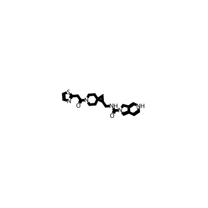 O=C(NCC1CC12CCN(C(=O)Cc1nccs1)CC2)N1C=C2C=CNC=C2C1